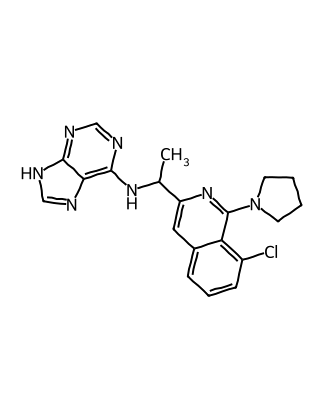 CC(Nc1ncnc2[nH]cnc12)c1cc2cccc(Cl)c2c(N2CCCC2)n1